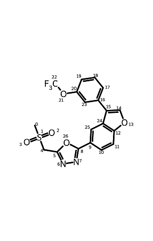 CS(=O)(=O)Cc1nnc(-c2ccc3occ(-c4cccc(OC(F)(F)F)c4)c3c2)o1